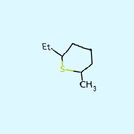 CCC1CCCC(C)S1